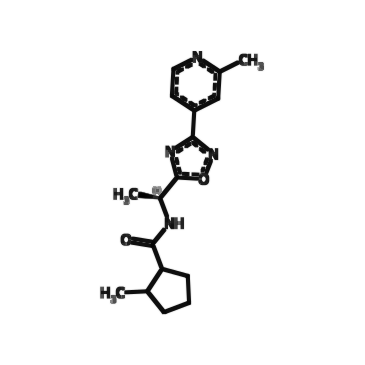 Cc1cc(-c2noc([C@H](C)NC(=O)C3CCCC3C)n2)ccn1